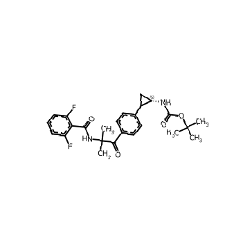 CC(C)(C)OC(=O)N[C@H]1CC1c1ccc(C(=O)C(C)(C)NC(=O)c2c(F)cccc2F)cc1